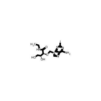 CCNC(=O)[C@@H](OCn1cnc2c(N)nc(I)nc21)[C@H](O)CO